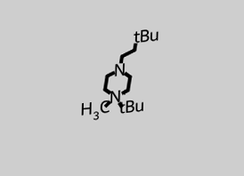 CC(C)(C)CCN1CC[N+](C)(C(C)(C)C)CC1